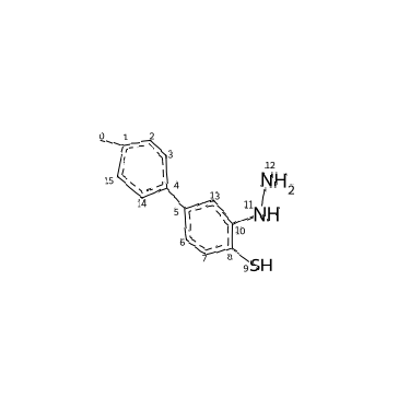 Cc1ccc(-c2ccc(S)c(NN)c2)cc1